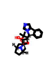 CC(C)(C)OC(=O)N1[C@@H]2CC[C@H]1C[C@]1(C[C@H]([C@@H]3c4ccccc4-c4cncn43)[C@@H]1O)C2